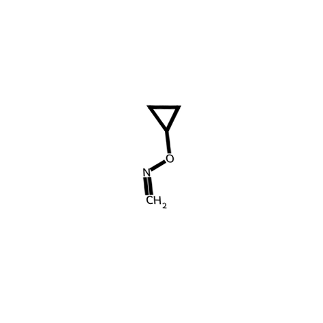 C=NOC1CC1